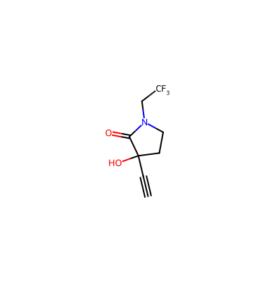 C#CC1(O)CCN(CC(F)(F)F)C1=O